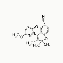 COc1ccc(=O)n(C2=C(C)C(C)(C)Oc3ccc(C#N)cc32)n1